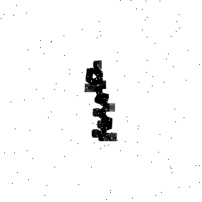 CS(=N)(=O)c1ccc(C(=O)NC23CC(c4nc5cc(Cl)ccc5[nH]4)(C2)C3)o1